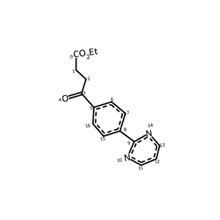 CCOC(=O)CCC(=O)c1ccc(-c2ncccn2)cc1